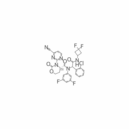 N#Cc1ccnc(N2C(=O)OCC[C@H]2C(=O)N(c2cc(F)cc(F)c2)C(C(=O)NC2CC(F)(F)C2)c2ccccc2Cl)n1